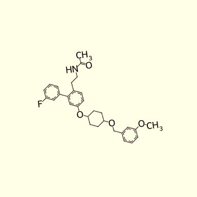 COc1cccc(COC2CCC(Oc3ccc(CCNC(C)=O)c(-c4cccc(F)c4)c3)CC2)c1